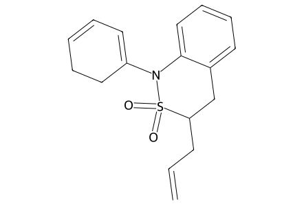 C=CCC1Cc2ccccc2N(C2=CC=CCC2)S1(=O)=O